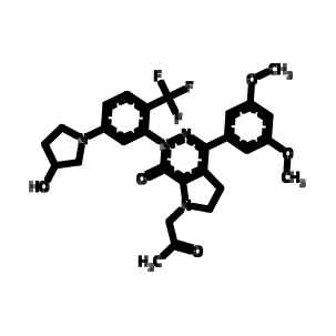 COc1cc(OC)cc(-c2nn(-c3cc(N4CCC(O)C4)ccc3C(F)(F)F)c(=O)c3c2CCN3CC(C)=O)c1